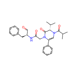 CC(C)C(=O)N1C=C(c2ccccc2)N(CC(=O)N[C@H](C=O)Cc2ccccc2)C(=O)[C@@H]1C(C)C